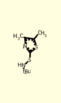 Cc1nc(SNC(C)(C)C)sc1C